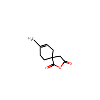 CC1=CCC2(CC1)CC(=O)OC2=O